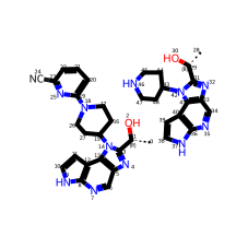 C[C@@H](O)c1nc2cnc3[nH]ccc3c2n1C1CCN(c2cccc(C#N)n2)CC1.C[C@@H](O)c1nc2cnc3[nH]ccc3c2n1C1CCNCC1